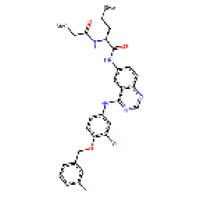 COCC(=O)N[C@@H](CCSC)C(=O)Nc1ccc2ncnc(Nc3ccc(OCc4cccc(F)c4)c(Cl)c3)c2c1